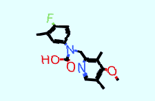 COc1c(C)cnc(CN(C(=O)O)c2ccc(F)c(C)c2)c1C